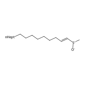 CCCCCCCCCCCCCCC=C[S+](C)[O-]